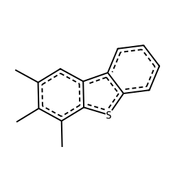 Cc1cc2c(sc3ccccc32)c(C)c1C